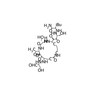 CC[C@H](C)C(NN[C@@H](CO)C(=O)C(=O)C1CCCCNC(=O)CCC(NN[C@H](C=O)CO)C(=O)C(=O)[C@H]([C@@H](C)O)NC(=O)[C@H](CO)NN1)C(N)=O